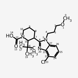 COCCCn1c(C2CCCN(C(=O)O)C2C(C)(C)C)nc2c(Cl)cccc21